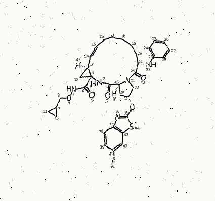 O=C1N[C@]2(C(=O)NOCC3CC3)C[C@H]2/C=C\CCCCC[C@H](Nc2ccccc2)C(=O)N2C[C@H](Oc3nc4ccc(F)cc4s3)C[C@@H]12